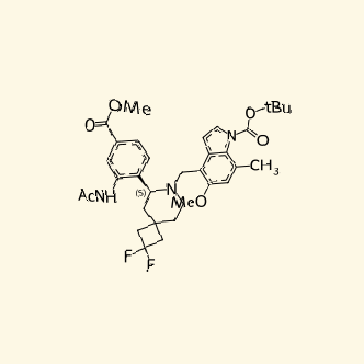 COC(=O)c1ccc([C@@H]2CC3(CCN2Cc2c(OC)cc(C)c4c2ccn4C(=O)OC(C)(C)C)CC(F)(F)C3)c(NC(C)=O)c1